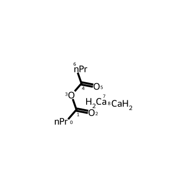 CCCC(=O)OC(=O)CCC.[CaH2].[CaH2]